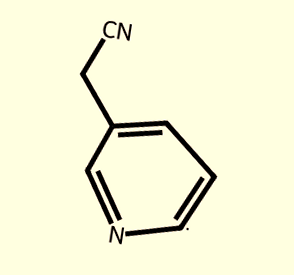 N#CCc1cc[c]nc1